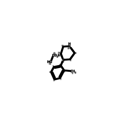 Cc1ccccc1N1CCNCC1.O=C(O)O